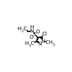 [CH2]CNS(=O)(=O)c1c(C)nn(C)c1Cl